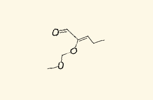 CCC=C(C=O)OCOC